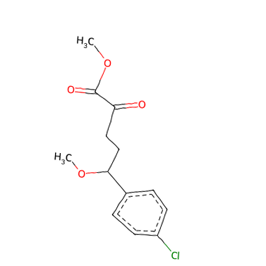 COC(=O)C(=O)CCC(OC)c1ccc(Cl)cc1